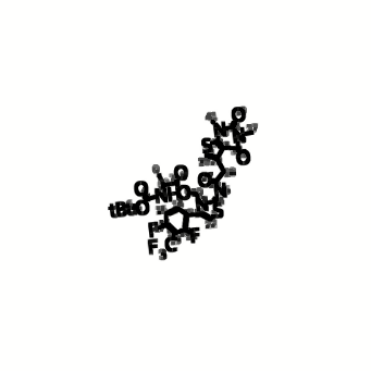 C[C@H](NC(=O)OC(C)(C)C)C(=O)OCn1c(-c2ccc(F)c(C(F)(F)F)c2F)csc1=NC(=O)Cc1csc2c1c(=O)n(C)c(=O)n2C